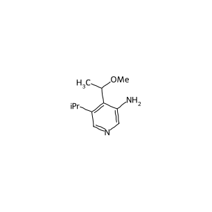 COC(C)c1c(N)cncc1C(C)C